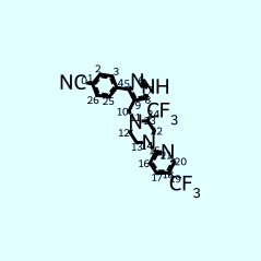 N#Cc1ccc(-c2n[nH]cc2CN2CCN(c3ccc(C(F)(F)F)cn3)CC2C(F)(F)F)cc1